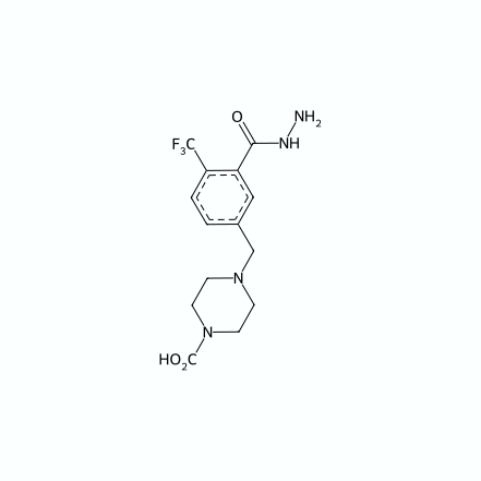 NNC(=O)c1cc(CN2CCN(C(=O)O)CC2)ccc1C(F)(F)F